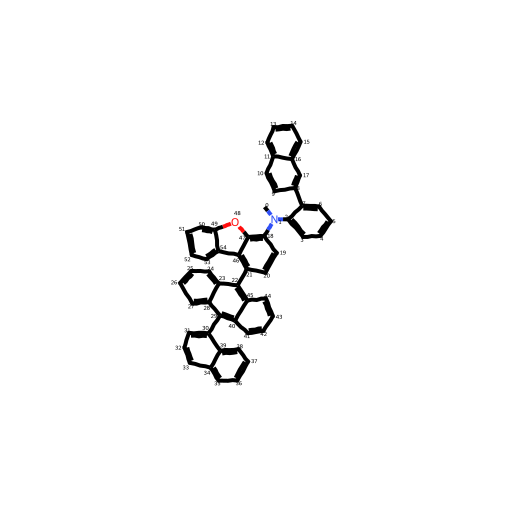 CN(c1ccccc1-c1ccc2ccccc2c1)c1ccc(-c2c3ccccc3c(-c3cccc4ccccc34)c3ccccc23)c2c1oc1ccccc12